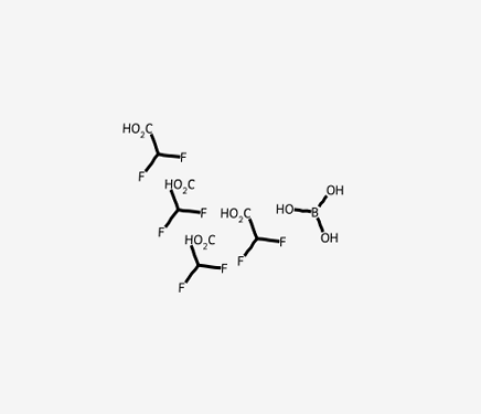 O=C(O)C(F)F.O=C(O)C(F)F.O=C(O)C(F)F.O=C(O)C(F)F.OB(O)O